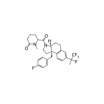 CN1C(=O)CCCC1C(=O)N1CC[C@@]2(Cc3ccc(F)cc3)c3ccc(C(C)(F)C(F)(F)F)cc3CC[C@@H]12